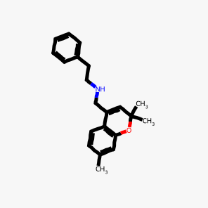 Cc1ccc2c(c1)OC(C)(C)C=C2CNCCc1ccccc1